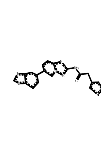 Cn1cc(CC(=O)Nc2nc3ccc(-c4ccc5ncsc5c4)cn3n2)cn1